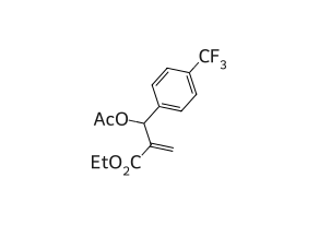 C=C(C(=O)OCC)C(OC(C)=O)c1ccc(C(F)(F)F)cc1